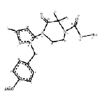 COc1ccc(Cn2nc(C)cc2N2CCN(C(=O)OC(C)(C)C)C(C)(C)C2=O)cc1